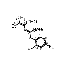 CC/C(C)=C(C=O)\C=C(\Cc1ccc(F)cc1F)NC